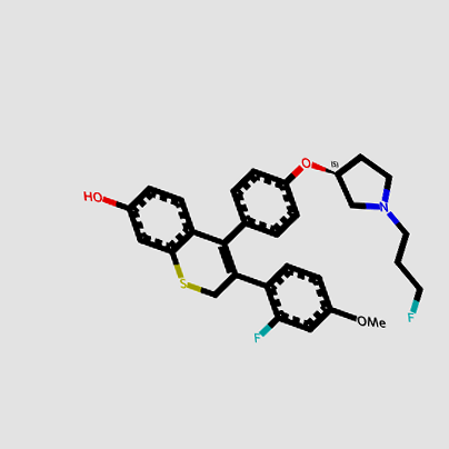 COc1ccc(C2=C(c3ccc(O[C@H]4CCN(CCCF)C4)cc3)c3ccc(O)cc3SC2)c(F)c1